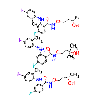 CCC(O)CCONC(=O)c1ccc(F)cc1Nc1ccc(I)cc1C.Cc1cc(I)ccc1Nc1cc(F)ccc1C(=O)NOCCC(C)(C)O.Cc1cc(I)ccc1Nc1cc(F)ccc1C(=O)NOCCC(C)O